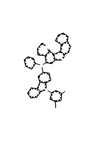 CC(C)(C)c1cc(-n2c3ccccc3c3cc(N(c4ccccc4)c4cc5sc6ccc7ccccc7c6c5c5ccccc45)ccc32)cc(C(C)(C)C)c1